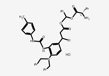 CCC(CC(=O)OC(OC(=O)[C@@H](N)C(C)C)C(C)C)c1ccc(N(CC(C)C)CC(C)C)c(NC(=O)Nc2ccc(C)cc2)c1.Cl